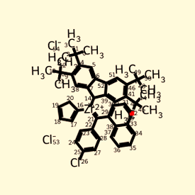 CC(C)(C)c1cc2c(cc1C(C)(C)C)[CH](/[Zr+2]([C]1=CC=CC1)=[C](/c1ccc(Cl)cc1)c1cccc3ccccc13)c1cc(C(C)(C)C)c(C(C)(C)C)cc1-2.[Cl-].[Cl-]